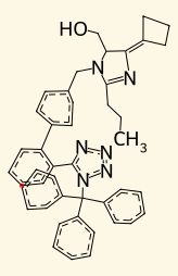 CCCC1=NC(=C2CCC2)C(CO)N1Cc1ccc(-c2ccccc2-c2nnnn2C(c2ccccc2)(c2ccccc2)c2ccccc2)cc1